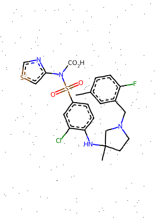 Cc1ccc(F)c(CN2CCC(C)(Nc3ccc(S(=O)(=O)N(C(=O)O)c4cscn4)cc3Cl)C2)c1